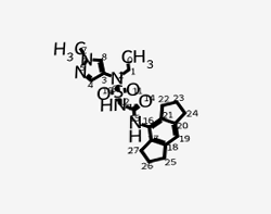 CCN(c1cnn(C)c1)S(=O)(=O)NC(=O)Nc1c2c(cc3c1CCC3)CCC2